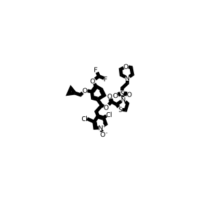 O=C(OC(Cc1c(Cl)c[n+]([O-])cc1Cl)c1ccc(OC(F)F)c(OCC2CC2)c1)C1SCCN1S(=O)(=O)CCN1CCOCC1